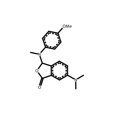 COc1ccc(N(C)C2OC(=O)c3cc(N(C)C)ccc32)cc1